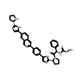 CC(C)(C)OC(=O)N[C@@H](C(=O)N1CCC[C@H]1c1ncc(-c2ccc(-c3cc4ccc(-c5cnc([C@@H]6CCCN6)[nH]5)cc4cn3)cc2)[nH]1)c1ccccc1